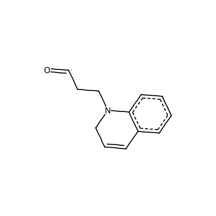 O=[C]CCN1CC=Cc2ccccc21